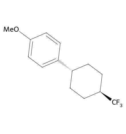 COc1ccc([C@H]2CC[C@H](C(F)(F)F)CC2)cc1